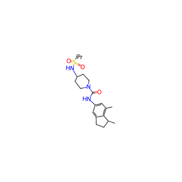 Cc1cc(NC(=O)N2CCC(NS(=O)(=O)C(C)C)CC2)cc2c1C(C)CC2